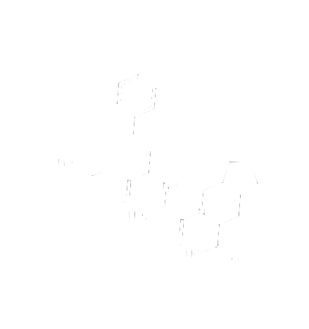 CCOC(=O)C(CCc1ccccc1)N[C@@H](C)C(=O)N1CC2CSCC2CC1C(=O)O